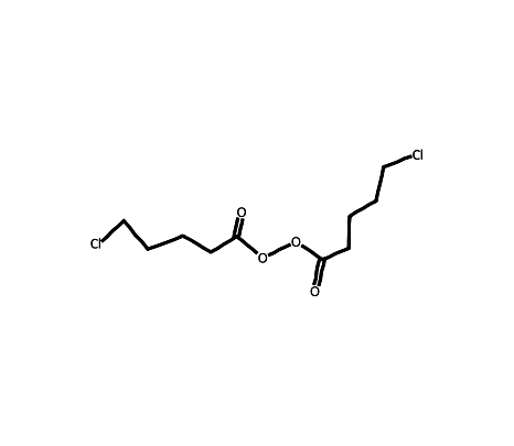 O=C(CCCCCl)OOC(=O)CCCCCl